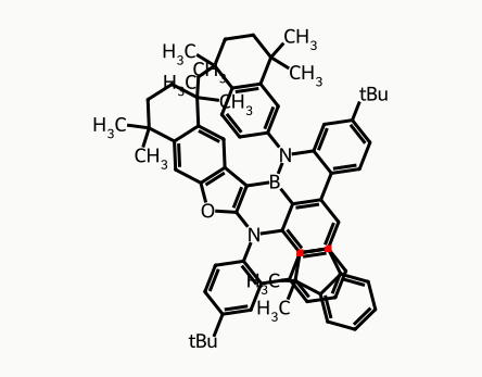 CC(C)(C)c1ccc(N2c3oc4cc5c(cc4c3B3c4c(cc6c(c42)C(C)(C)c2ccccc2-6)-c2ccc(C(C)(C)C)cc2N3c2ccc3c(c2)C(C)(C)CCC3(C)C)C(C)(C)CCC5(C)C)c(-c2ccccc2)c1